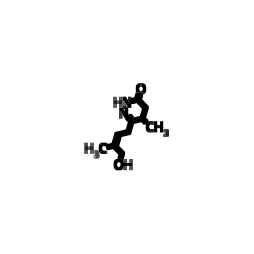 C/C(=C/CC1=NNC(=O)CC1C)CO